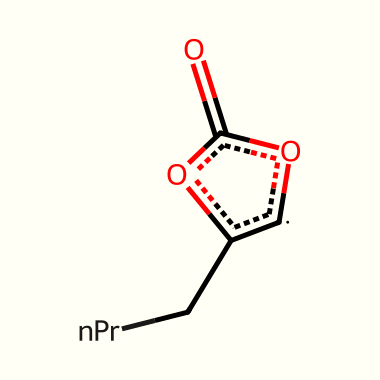 CCCCc1[c]oc(=O)o1